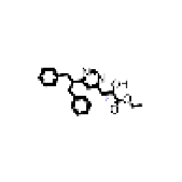 CCOC(=O)/C(O)=C/c1cc(C(Cc2ccccc2)Cc2ccccc2)ncn1